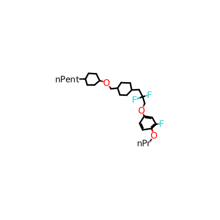 CCCCCC1CCC(OCC2CCC(CC(F)(F)COc3ccc(OCCC)c(F)c3)CC2)CC1